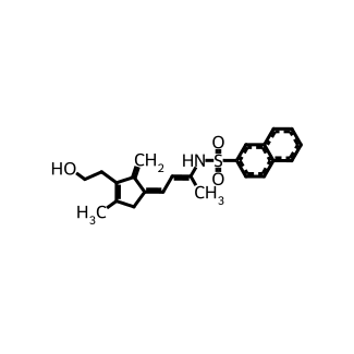 C=C1C(CCO)=C(C)C/C1=C/C=C(\C)NS(=O)(=O)c1ccc2ccccc2c1